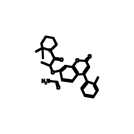 Cc1ccccc1-c1cc(=O)oc2cc(OC(C)C(=O)N3CCCCC3(C)C)ccc12.NC=O